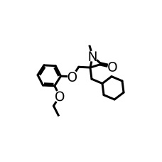 CCOc1ccccc1OCC1(CC2CCCCC2)C(=O)N1C